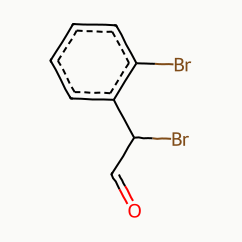 O=CC(Br)c1ccccc1Br